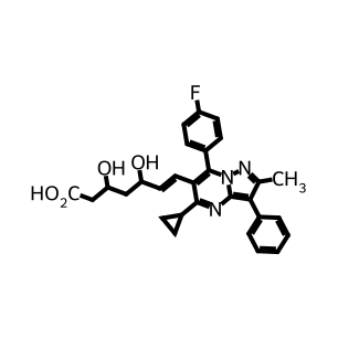 Cc1nn2c(-c3ccc(F)cc3)c(C=CC(O)CC(O)CC(=O)O)c(C3CC3)nc2c1-c1ccccc1